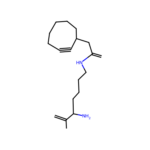 C=C(CC1C#CCCCCC1)NCCCCC(N)C(=C)C